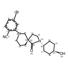 N#Cc1ccc(Br)cc1N1CCC[C@]2(CCN([C@H]3CC[C@H](O)CC3)C2=O)C1